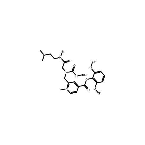 CCN(CCN(C)C)C(=O)CN(Cc1cc(C(=O)Oc2c(OC(C)C)cccc2OC(C)C)cc[n+]1C)C(=O)OC(C)(C)C